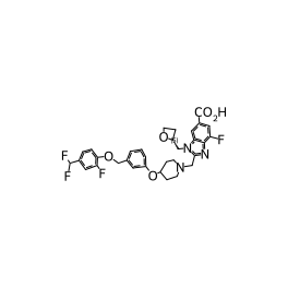 O=C(O)c1cc(F)c2nc(CN3CCC(Oc4cccc(COc5ccc(C(F)F)cc5F)c4)CC3)n(C[C@@H]3CCO3)c2c1